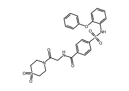 O=C(NCC(=O)N1CCS(=O)(=O)CC1)c1ccc(S(=O)(=O)Nc2ccccc2Oc2ccccc2)cc1